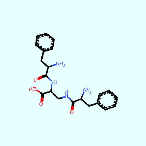 NC(Cc1ccccc1)C(=O)NCC(NC(=O)C(N)Cc1ccccc1)C(=O)O